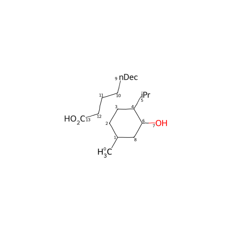 CC1CCC(C(C)C)C(O)C1.CCCCCCCCCCCCCC(=O)O